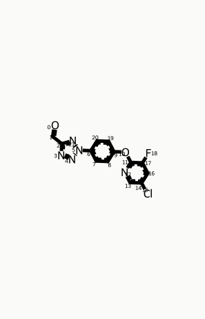 O=Cc1nnn(-c2ccc(Oc3ncc(Cl)cc3F)cc2)n1